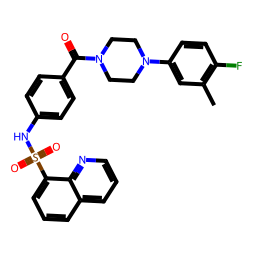 Cc1cc(N2CCN(C(=O)c3ccc(NS(=O)(=O)c4cccc5cccnc45)cc3)CC2)ccc1F